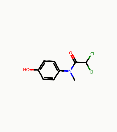 CN(C(=O)C(Cl)Cl)c1ccc(O)cc1